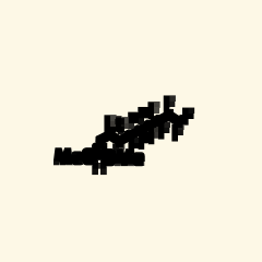 CCC(C[SiH](OC)OC)C(F)C(F)(F)C(F)(F)C(F)(F)C(F)(F)C(F)C(F)F